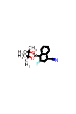 CC1(C)OB(c2c(F)cc(C#N)c3ccccc23)OC1(C)C